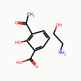 CC(=O)c1cccc(C(=O)O)c1O.NCCO